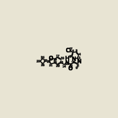 Cc1nc2ccc(Cl)cn2c1C(=O)NCc1ccc2c(c1)CC(C1CCC1)O2